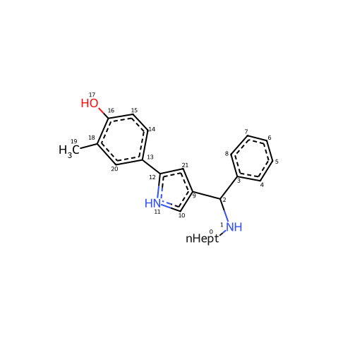 CCCCCCCNC(c1ccccc1)c1c[nH]c(-c2ccc(O)c(C)c2)c1